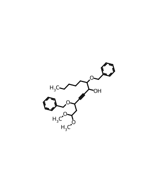 CCCCCC(OCc1ccccc1)C(O)C#CC(CC(OC)OC)OCc1ccccc1